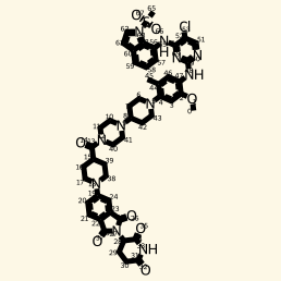 COc1cc(N2CCC(N3CCN(C(=O)C4CCN(c5ccc6c(c5)C(=O)N(C5CCC(=O)NC5=O)C6=O)CC4)CC3)CC2)c(C)cc1Nc1ncc(Cl)c(Nc2cccc3ccn(S(C)(=O)=O)c23)n1